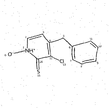 [O-][NH+]1C=CC(Cc2ccccc2)=C(Cl)C1=S